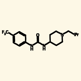 CC(C)CN1CCC(NC(=O)Nc2ccc(C(F)(F)F)cc2)CC1